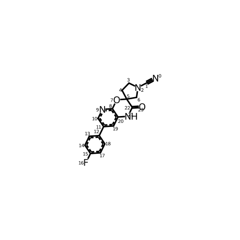 N#CN1CCC2(C1)Oc1ncc(-c3ccc(F)cc3)cc1NC2=O